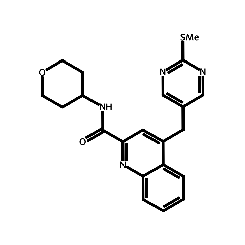 CSc1ncc(Cc2cc(C(=O)NC3CCOCC3)nc3ccccc23)cn1